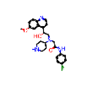 COc1ccc2nccc([C@@H](O)CN(CC(=O)Nc3ccc(F)cc3)C3CCNCC3)c2c1